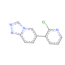 Clc1ncccc1-c1ccc2nncn2c1